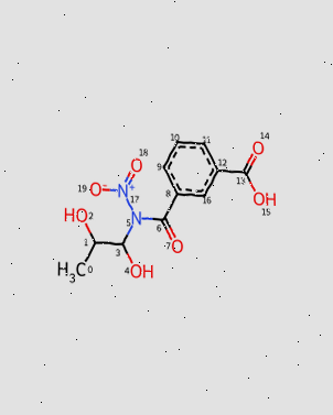 CC(O)C(O)N(C(=O)c1cccc(C(=O)O)c1)[N+](=O)[O-]